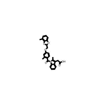 Cc1cc(OCC2Oc3cccc(C)c3O2)ccc1C(=O)n1c(C)c(CC(=O)O)c2ccccc21